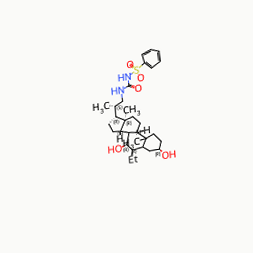 CC[C@@H]1C2C[C@H](O)CCC2(C)[C@H]2CC[C@]3(C)[C@@H]([C@H](C)CNC(=O)NS(=O)(=O)c4ccccc4)CC[C@H]3C2[C@@H]1O